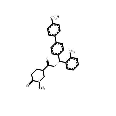 Cc1ccccc1[C@H](CC(=O)C1CCC(=O)N(C)C1)c1ccc(-c2ccc(C(=O)O)cc2)cc1